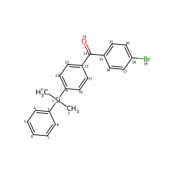 C[Si](C)(c1ccccc1)c1ccc(C(=O)c2ccc(Br)cc2)cc1